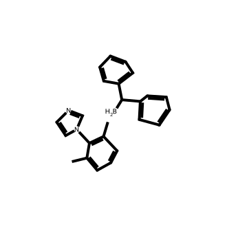 BC(c1ccccc1)c1ccccc1.Cc1cccc(C)c1-n1ccnc1